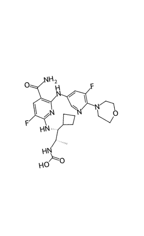 C[C@H](NC(=O)O)[C@H](Nc1nc(Nc2cnc(N3CCOCC3)c(F)c2)c(C(N)=O)cc1F)C1CCC1